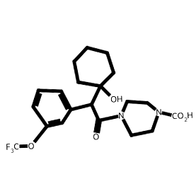 O=C(O)N1CCN(C(=O)C(c2cccc(OC(F)(F)F)c2)C2(O)CCCCC2)CC1